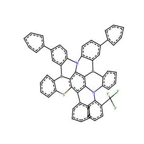 FC(F)(F)c1ccccc1N1c2ccccc2B2c3cc(-c4ccccc4)ccc3N3c4ccc(-c5ccccc5)cc4B4c5ccccc5Sc5c4c3c2c1c5-c1ccccc1